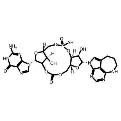 Nc1nc2c(ncn2[C@@H]2O[C@@H]3COP(=O)(S)O[C@H]4[C@@H](O)[C@H](n5cc6c7c(ncnc75)NCCC6)O[C@@H]4COC(=O)O[C@@H]2[C@@H]3O)c(=O)[nH]1